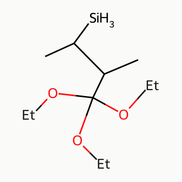 CCOC(OCC)(OCC)C(C)C(C)[SiH3]